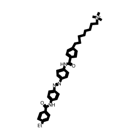 CCc1ccc(C(=O)Nc2ccc(/N=N/c3ccc(NC(=O)c4ccc(CCCCCCCC[N+](C)(C)C)cc4)cc3)cc2)cc1